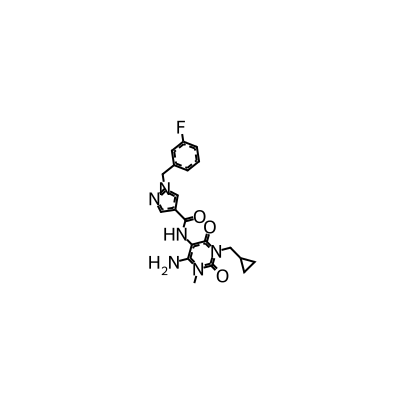 Cn1c(N)c(NC(=O)c2cnn(Cc3cccc(F)c3)c2)c(=O)n(CC2CC2)c1=O